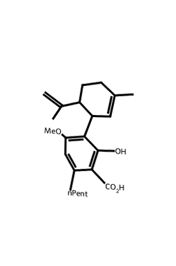 C=C(C)C1CCC(C)=CC1c1c(OC)cc(CCCCC)c(C(=O)O)c1O